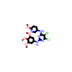 COc1ccc(Nc2nc(Nc3cc(OC)c(OC)c(OC)c3)nc(Cl)c2Br)cn1